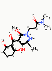 Cc1cc(C(=O)C2=C(O)CCCC2=O)c(=O)n(CCC(=O)N(C)C)n1.[Na]